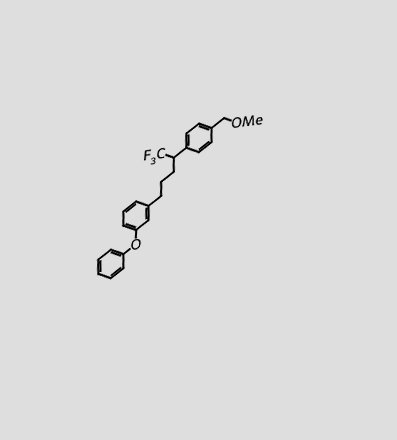 COCc1ccc(C(CCCc2cccc(Oc3ccccc3)c2)C(F)(F)F)cc1